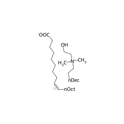 CCCCCCCC/C=C\CCCCCCCC(=O)[O-].CCCCCCCCCCCC[N+](C)(C)CCO